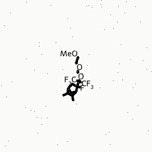 COCCOCOC(C(F)(F)F)(C(F)(F)F)C1(F)CC2CC1C(C)C2C